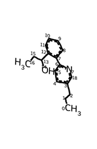 CCCc1ccc(-c2ccccc2C(O)CC)nc1